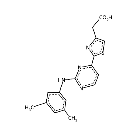 Cc1cc(C)cc(Nc2nccc(-c3nc(CC(=O)O)cs3)n2)c1